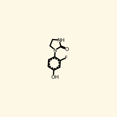 O=C1NCCN1c1ccc(O)cc1F